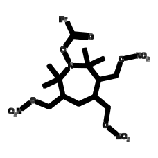 CC(C)C(=O)ON1C(C)(C)C(CO[N+](=O)[O-])CC(CO[N+](=O)[O-])C(CO[N+](=O)[O-])C1(C)C